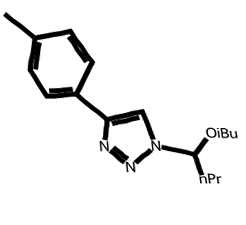 CCCC(OCC(C)C)n1cc(-c2ccc(C)cc2)nn1